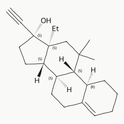 C#C[C@]1(O)CC[C@H]2[C@@H]3CCC4=CCCC[C@@H]4[C@H]3C(C)(C)C[C@@]21CC